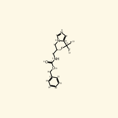 O=C(NCCCn1cncc1C(F)(F)F)OCc1ccccc1